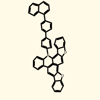 c1ccc(N(c2ccc(-c3ccc(-c4cccc5ccccc45)cc3)cc2)c2cccc3oc4ccccc4c23)c(-c2ccc3oc4ccccc4c3c2)c1